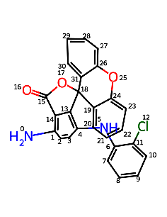 Nc1ccc(Nc2ccccc2Cl)c2c1C(=O)OC21c2ccccc2Oc2ccccc21